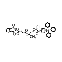 CC(CCOC(C)C(=O)N1CCN(C(c2ccccc2)(c2ccccc2)c2ccccc2)CC1)OC(=O)CCC(=O)ON1C(=O)C2C3C=CC(C3)C2C1=O